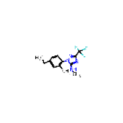 CCc1ccc(-n2nc(C(F)(F)F)nc2NC)c(C)c1